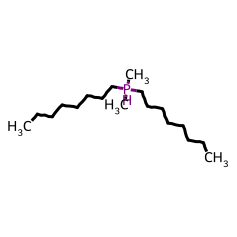 CCCCCCCC[PH](C)(C)CCCCCCCC